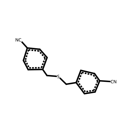 N#Cc1ccc(CSCc2ccc(C#N)cc2)cc1